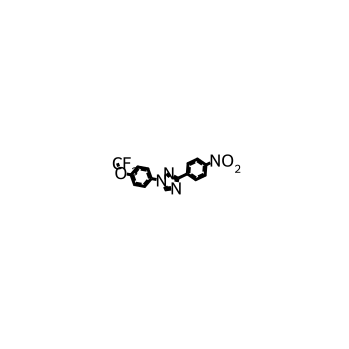 O=[N+]([O-])c1ccc(-c2ncn(-c3ccc(OC(F)(F)F)cc3)n2)cc1